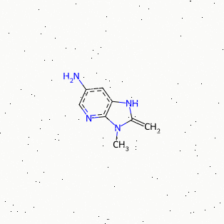 C=C1Nc2cc(N)cnc2N1C